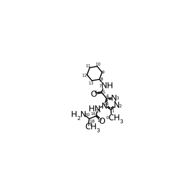 Cc1nnc(C(=O)NC2CCCCC2)n1NC(=O)C(C)N